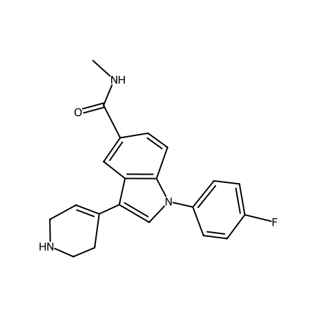 CNC(=O)c1ccc2c(c1)c(C1=CCNCC1)cn2-c1ccc(F)cc1